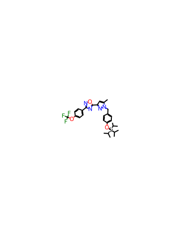 Cc1cc(-c2nc(-c3ccc(OC(F)(F)F)cc3)no2)nn1Cc1ccc(O[Si](C(C)C)(C(C)C)C(C)C)cc1